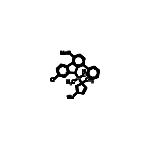 COc1ccc(-c2ccccc2)c2c1-c1ccc(Cl)cc1[CH]2[Ti]([CH3])([CH3])[C]1(C)C=CC(C(C)(C)C)=C1